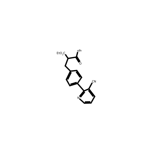 CCCC(=O)C(Cc1ccc(-c2ncccc2C#N)cc1)C(=O)OCC